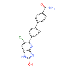 NC(=O)c1ccc(-c2ccc(-c3nc4nc(O)[nH]c4cc3Cl)cc2)cc1